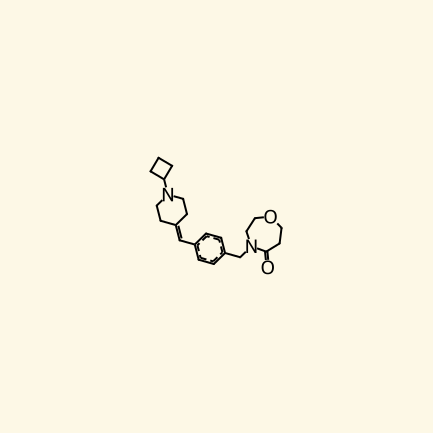 O=C1CCOCCN1Cc1ccc(C=C2CCN(C3CCC3)CC2)cc1